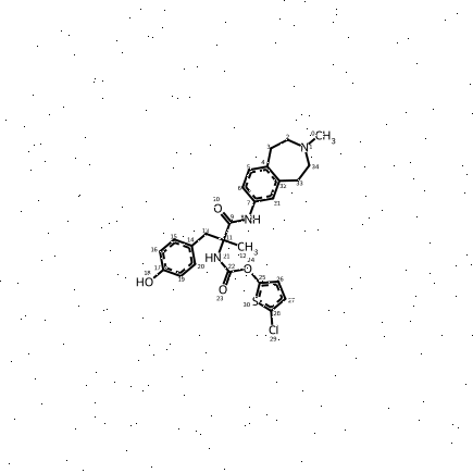 CN1CCc2ccc(NC(=O)C(C)(Cc3ccc(O)cc3)NC(=O)Oc3ccc(Cl)s3)cc2CC1